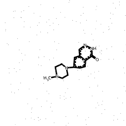 CN1CCN(c2ccc3c(=O)[nH]ncc3c2)CC1